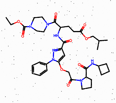 CCOC(=O)N1CCN(C(=O)C(CCC(=O)OCC(C)C)NC(=O)c2cc(OCC(=O)N3CCCC3C(=O)NC3CCC3)n(-c3ccccc3)n2)CC1